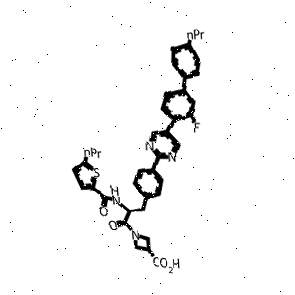 CCCc1ccc(-c2ccc(-c3cnc(-c4ccc(C[C@H](NC(=O)c5ccc(CCC)s5)C(=O)N5CC(C(=O)O)C5)cc4)nc3)c(F)c2)cc1